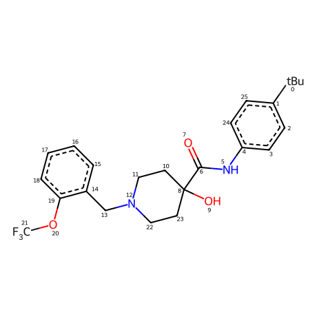 CC(C)(C)c1ccc(NC(=O)C2(O)CCN(Cc3ccccc3OC(F)(F)F)CC2)cc1